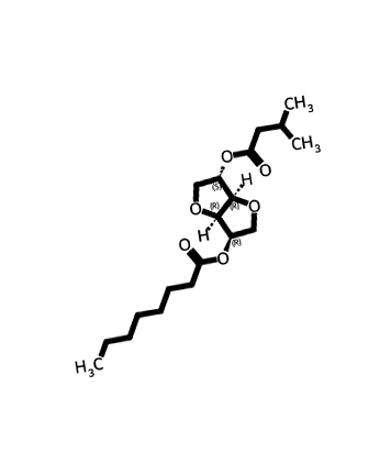 CCCCCCCC(=O)O[C@@H]1CO[C@H]2[C@@H]1OC[C@@H]2OC(=O)CC(C)C